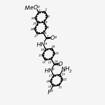 COc1ccc2cc(C(=O)Nc3ccc(C(=O)Nc4cc(F)ccc4N)cc3)ccc2c1